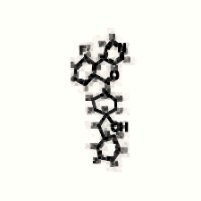 O=C(c1cccc(F)c1-c1ccncc1)N1CCC(O)(Cc2ccccc2)CC1